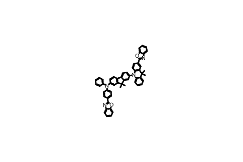 CC1(C)c2cc(N(c3ccccc3)c3ccc(-c4nc5ccccc5o4)cc3)ccc2-c2ccc(N3c4ccccc4C(C)(C)c4cc(-c5nc6ccccc6o5)ccc43)cc21